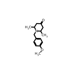 COc1ccc(CN2C(C)CC(=O)CC2C)cc1